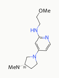 CN[C@H]1CCN(c2ccnc(NCCOC)c2)C1